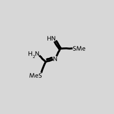 CSC(=N)N=C(N)SC